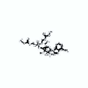 CC(C)OC(=O)OCOP(=O)(OCOC(=O)OC(C)C)OC1[C@]2(O)[C@@](C)(O)[C@H](n3cnc4c(N)ncnc43)O[C@]12CF